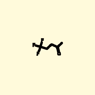 CC(=O)CCC(F)(F)F